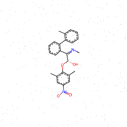 C/N=C(/c1ccccc1-c1ccccc1C)[C@H](O)Oc1c(C)cc([N+](=O)[O-])cc1C